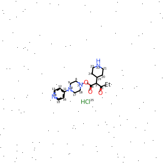 CCC(=O)C(C(=O)ON1CCN(c2ccncc2)CC1)C1CCNCC1.Cl